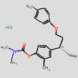 CN[C@@H](CCOc1ccc([N+](=O)[O-])cc1)c1ccc(OC(=O)N(C)C)c(C)c1.Cl